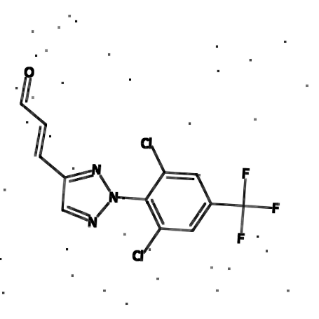 O=CC=Cc1cnn(-c2c(Cl)cc(C(F)(F)F)cc2Cl)n1